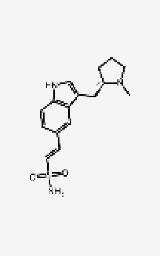 CN1CCC[C@@H]1Cc1c[nH]c2ccc(C=CS(N)(=O)=O)cc12